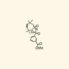 COC(=O)c1cccc(S(=O)(=O)N=S2(=O)CC(C)(C)C#CC(C)(C)C2)c1